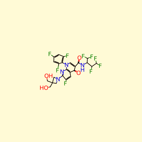 O=C(NC(C(F)F)C(F)C(F)F)c1cn(-c2c(F)cc(F)cc2F)c2nc(N3CC(CO)(CO)C3)c(F)cc2c1=O